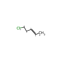 CC=CCCCl